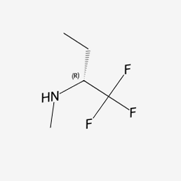 CC[C@@H](NC)C(F)(F)F